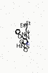 CCN(CC)CCN(C)c1nc(/C=C2/SC(=O)NC2=O)cc(Oc2ccccc2)n1